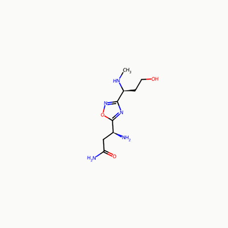 CN[C@@H](CCO)c1noc([C@@H](N)CC(N)=O)n1